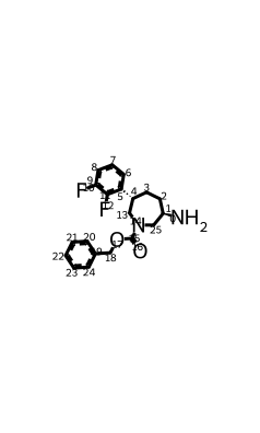 N[C@@H]1CC[C@@H](c2cccc(F)c2F)CN(C(=O)OCc2ccccc2)C1